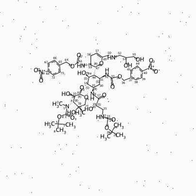 CN(C(=O)OC(C)(C)C)[C@@H]1[C@@H](O)[C@@H](O[C@H]2[C@H](NC(=O)[C@@H](O)CNC(=O)OC(C)(C)C)C[C@H](NC(=O)OCc3ccc([N+](=O)[O-])cc3)C([C@H]3OC(CNCC(O)CO)=CC[C@H]3NC(=O)OCc3ccc([N+](=O)[O-])cc3)[C@@H]2O)OC[C@]1(C)O